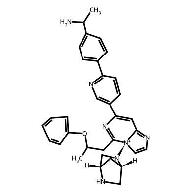 CC(CC1=NC(c2ccc(-c3ccc(C(C)N)cc3)nc2)=CC2=NC=C[N@@+]21N1C[C@@H]2C[C@H]1CN2)Oc1ccccc1